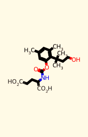 Cc1cc(C)c(C(C)(C)CCO)c(OC(=O)NC(CCC(=O)O)C(=O)O)c1